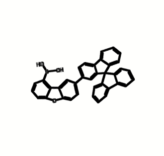 OB(O)c1cccc2oc3ccc(-c4ccc5c(c4)C4(c6ccccc6-c6ccccc64)c4ccccc4-5)cc3c12